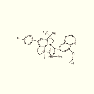 CCCCNC(=O)[C@@]1(C)COc2c1cc([C@@](O)(CNC(=O)c1cc(OC3CC3)c3ncccc3c1)C(F)(F)F)nc2-c1ccc(F)cc1